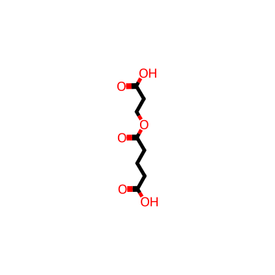 O=C(O)CCCC(=O)OCCC(=O)O